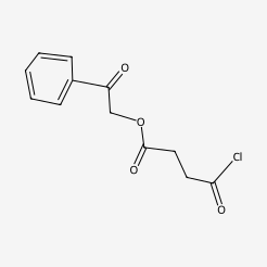 O=C(Cl)CCC(=O)OCC(=O)c1ccccc1